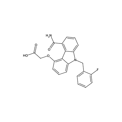 NC(=O)c1cccc2c1c1c(OCC(=O)O)cccc1n2Cc1ccccc1F